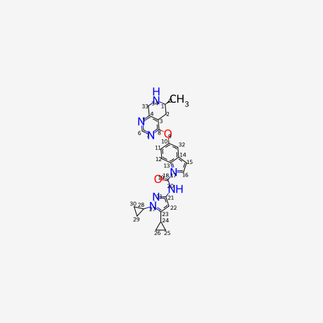 C[C@H]1Cc2c(ncnc2Oc2ccc3c(ccn3C(=O)Nc3cc(C4CC4)n(C4CC4)n3)c2)CN1